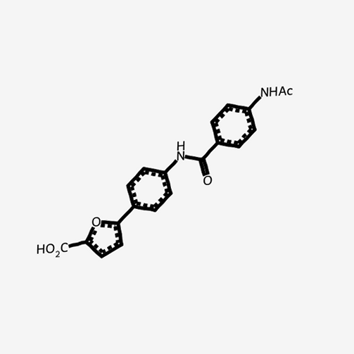 CC(=O)Nc1ccc(C(=O)Nc2ccc(-c3ccc(C(=O)O)o3)cc2)cc1